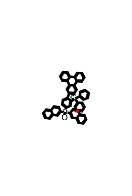 O=P(c1ccc2c(c1)[Si](c1ccccc1)(c1ccccc1)c1cc3c4ccccc4c4ccccc4c3cc1-2)(c1ccc2ccccc2c1)c1ccc2ccccc2c1